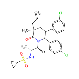 C=CC[C@@]1(C)CC(c2cccc(Cl)c2)C(c2ccc(Cl)cc2)N([C@@H](CC)[C@@H](C)NS(=O)(=O)C2CC2)C1=O